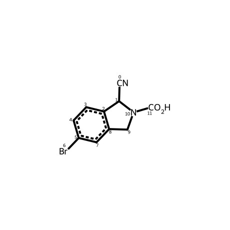 N#CC1c2ccc(Br)cc2CN1C(=O)O